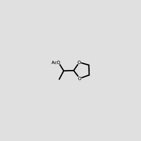 CC(=O)OC(C)C1OCCO1